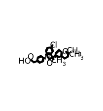 CC1(C)CCc2cc(C3(C)C(=O)N(c4ccc(CC(=O)O)cc4)c4ccc(Cl)cc43)ccc2O1